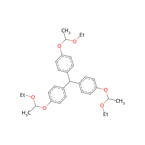 CCOC(C)Oc1ccc(C(c2ccc(OC(C)OCC)cc2)c2ccc(OC(C)OCC)cc2)cc1